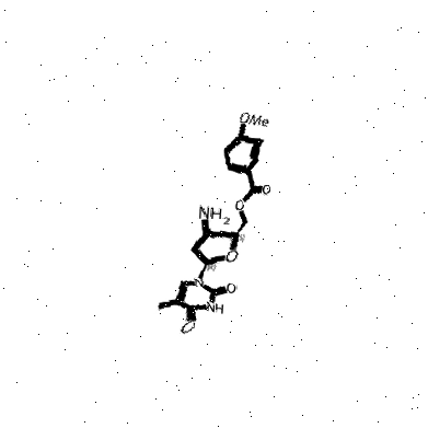 COc1ccc(C(=O)OC[C@H]2O[C@@H](n3cc(C)c(=O)[nH]c3=O)CC2N)cc1